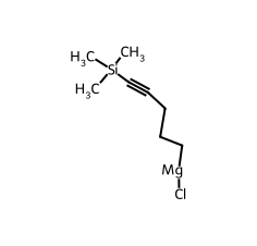 C[Si](C)(C)C#CCC[CH2][Mg][Cl]